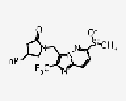 CCCC1CC(=O)N(Cc2c(C(F)(F)F)nc3ccc([S+](C)[O-])nn23)C1